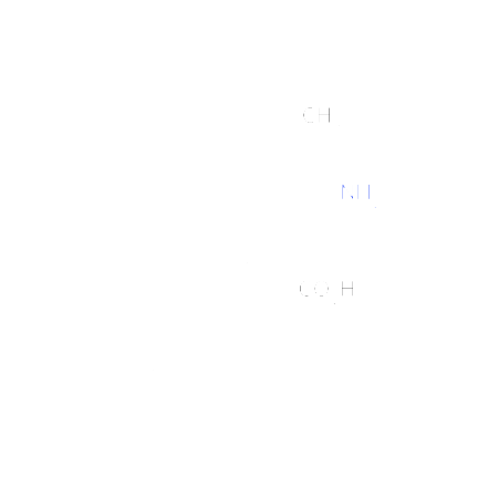 CC(N)C=C(C(=O)O)c1ccccc1